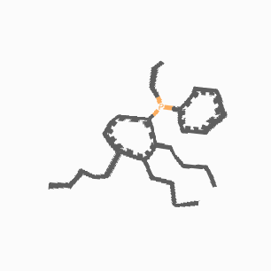 CCCCc1ccc(P(CC)c2ccccc2)c(CCCC)c1CCCC